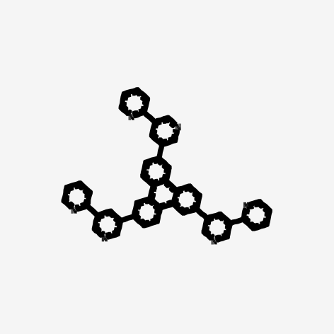 c1ccc(-c2cncc(-c3ccc4c(c3)c3ccc(-c5cncc(-c6ccccn6)c5)cc3c3ccc(-c5cncc(-c6ccccn6)c5)cc43)c2)nc1